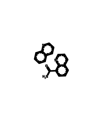 NC(=O)c1cccc2cccnc12.c1ccc2ncccc2c1